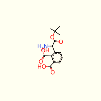 CC(C)(C)OC(=O)C(N)c1cccc(C(=O)O)c1C(=O)O